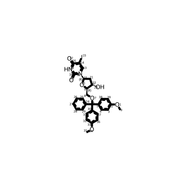 COc1ccc(C(OC[C@H]2O[C@@H](n3cc(I)c(=O)[nH]c3=O)C[C@@H]2O)(c2ccccc2)c2ccc(OC)cc2)cc1